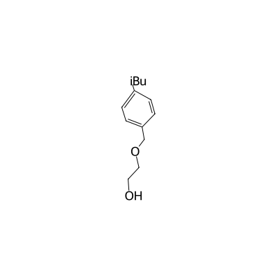 CCC(C)c1ccc(COCCO)cc1